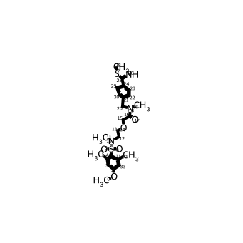 COc1cc(C)c(S(=O)(=O)N(C)CCOCC(=O)N(C)Cc2ccc(C(=N)SC)cc2)c(C)c1